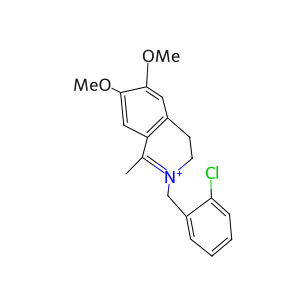 COc1cc2c(cc1OC)C(C)=[N+](Cc1ccccc1Cl)CC2